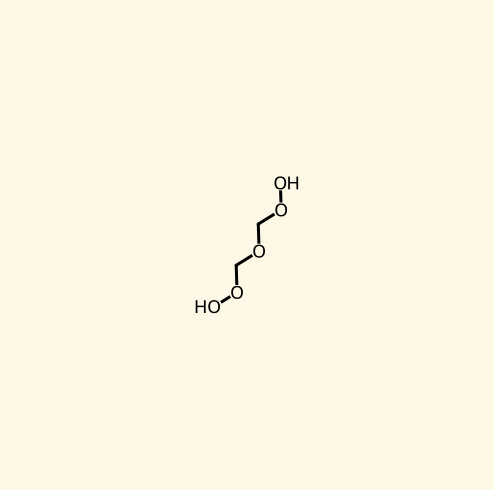 OOCOCOO